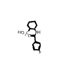 O=C(NC1CCCCC1C(=O)O)c1ccc(F)cc1